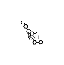 CCC(C)[C@@H](NC(=O)c1cccc(-c2ccccc2)c1)C(=O)N1CCC(c2ccc(Cl)cc2)CC1